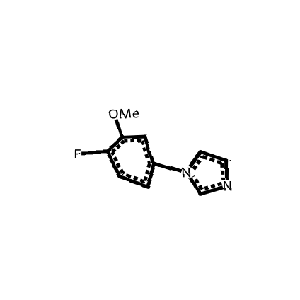 COc1cc(-n2c[c]nc2)ccc1F